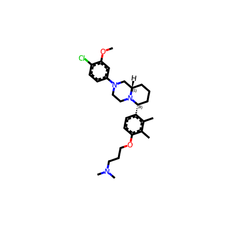 COc1cc(N2CCN3[C@@H](CCC[C@@H]3c3ccc(OCCCN(C)C)c(C)c3C)C2)ccc1Cl